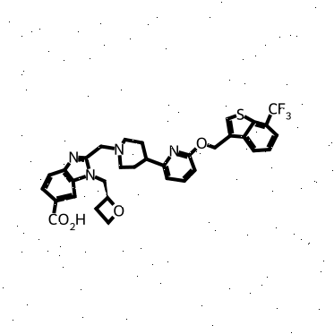 O=C(O)c1ccc2nc(CN3CCC(c4cccc(OCc5csc6c(C(F)(F)F)cccc56)n4)CC3)n(C[C@@H]3CCO3)c2c1